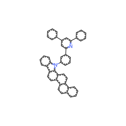 c1ccc(-c2cc(-c3ccccc3)nc(-c3cccc(-n4c5ccccc5c5ccc6c7ccc8ccccc8c7ccc6c54)c3)c2)cc1